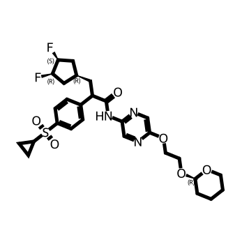 O=C(Nc1cnc(OCCO[C@@H]2CCCCO2)cn1)C(C[C@H]1C[C@@H](F)[C@@H](F)C1)c1ccc(S(=O)(=O)C2CC2)cc1